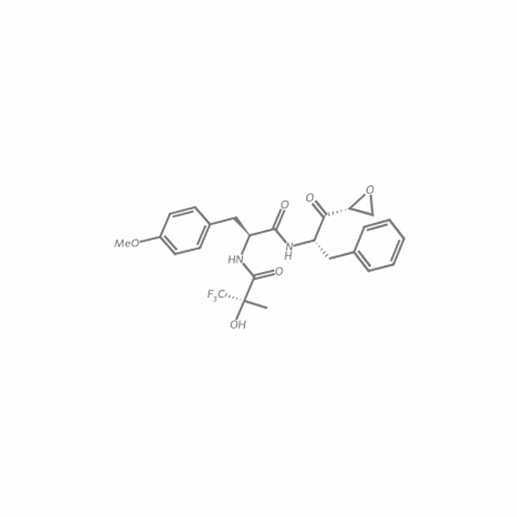 COc1ccc(C[C@H](NC(=O)[C@@](C)(O)C(F)(F)F)C(=O)N[C@@H](Cc2ccccc2)C(=O)[C@H]2CO2)cc1